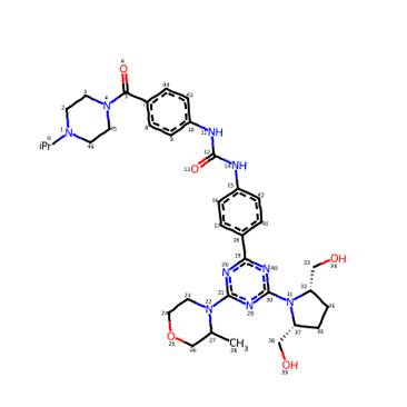 CC(C)N1CCN(C(=O)c2ccc(NC(=O)Nc3ccc(-c4nc(N5CCOCC5C)nc(N5[C@H](CO)CC[C@@H]5CO)n4)cc3)cc2)CC1